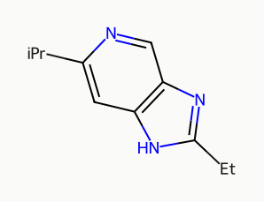 CCc1nc2cnc(C(C)C)cc2[nH]1